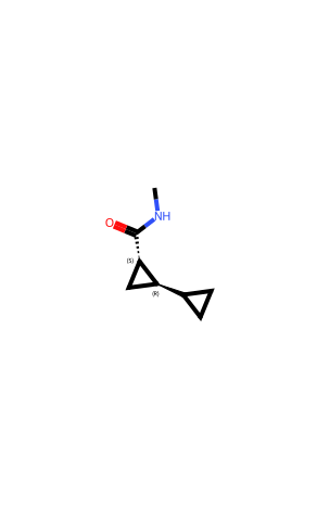 CNC(=O)[C@H]1C[C@@H]1C1CC1